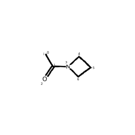 [CH]C(=O)N1CCC1